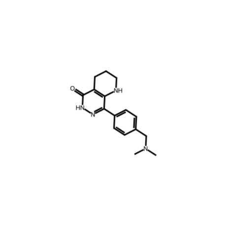 CN(C)Cc1ccc(-c2n[nH]c(=O)c3c2NCCC3)cc1